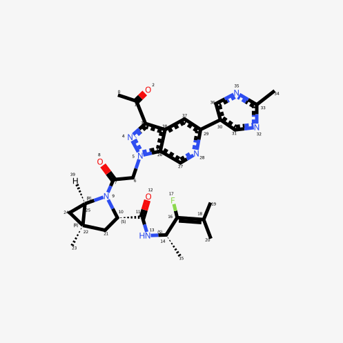 CC(=O)c1nn(CC(=O)N2[C@H](C(=O)N[C@@H](C)C(F)=C(C)C)C[C@@]3(C)C[C@@H]23)c2cnc(-c3cnc(C)nc3)cc12